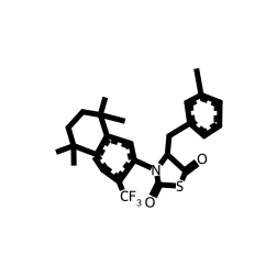 Cc1cccc(CC2C(=O)SC(=O)N2c2cc3c(cc2C(F)(F)F)C(C)(C)CCC3(C)C)c1